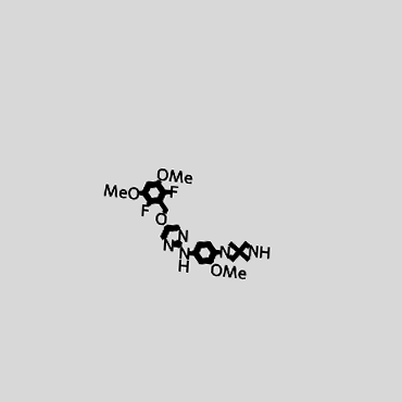 COc1cc(Nc2ncc(OCc3c(F)c(OC)cc(OC)c3F)cn2)ccc1N1CC2(CNC2)C1